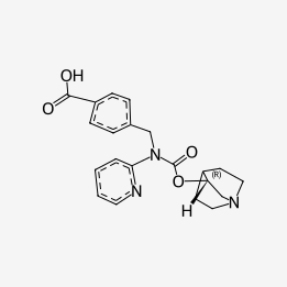 O=C(O)c1ccc(CN(C(=O)O[C@H]2CN3CCC2CC3)c2ccccn2)cc1